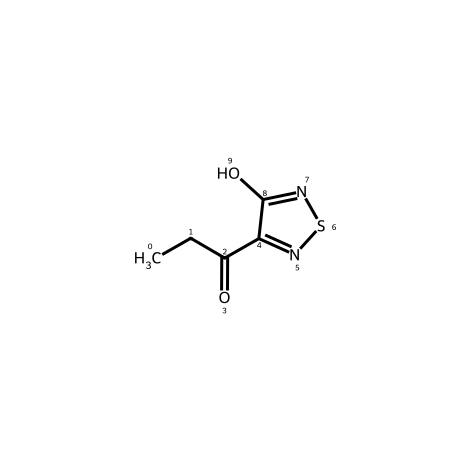 CCC(=O)c1nsnc1O